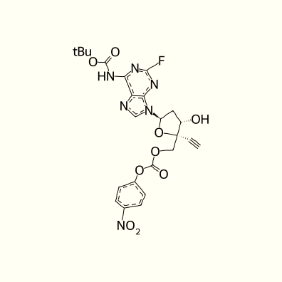 C#C[C@]1(COC(=O)Oc2ccc([N+](=O)[O-])cc2)O[C@@H](n2cnc3c(NC(=O)OC(C)(C)C)nc(F)nc32)C[C@@H]1O